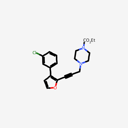 CCOC(=O)N1CCN(CC#Cc2occc2-c2cccc(Cl)c2)CC1